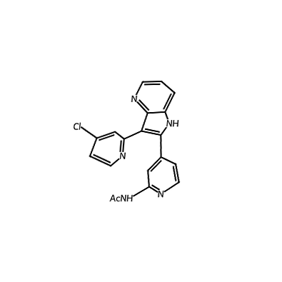 CC(=O)Nc1cc(-c2[nH]c3cccnc3c2-c2cc(Cl)ccn2)ccn1